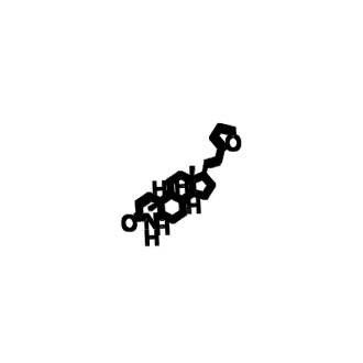 C[C@]12C=CC(=O)N[C@@H]1CC[C@@H]1[C@@H]2CC[C@]2(C)[C@@H](/C=C/c3ccco3)CC[C@@H]12